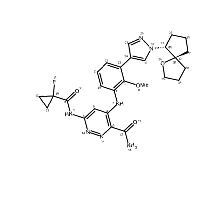 COc1c(Nc2cc(NC(=O)C3(F)CC3)nnc2C(N)=O)cccc1-c1cnn([C@@H]2CCC[C@]23CCCO3)c1